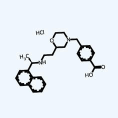 C[C@@H](NCCC1CN(Cc2ccc(C(=O)O)cc2)CCO1)c1cccc2ccccc12.Cl